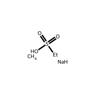 C.CCS(=O)(=O)O.[NaH]